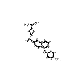 CN(C)C1CN(C(=O)c2ccc3c(Oc4ccc(C(F)(F)F)cc4)cccc3c2)C1